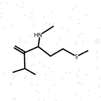 C=C(C(C)C)C(CCSC)NC